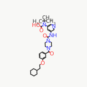 CC(C)(C)N(C(=O)O)c1cncc(NC(=O)N2CCN(C(=O)c3cccc(OCCC4CCCCC4)c3)CC2)c1